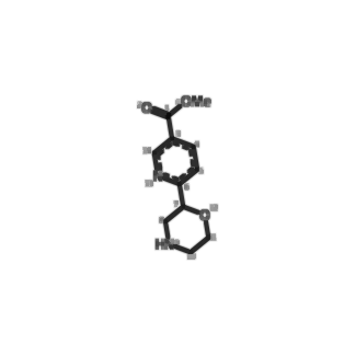 COC(=O)c1ccc(C2CNCCO2)nc1